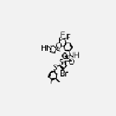 Cc1ccc(Sc2sc(S(=O)(=O)Nc3ccc(C(F)(F)F)c(O[C@]4(C)CCNC4)c3)cc2Br)cc1C